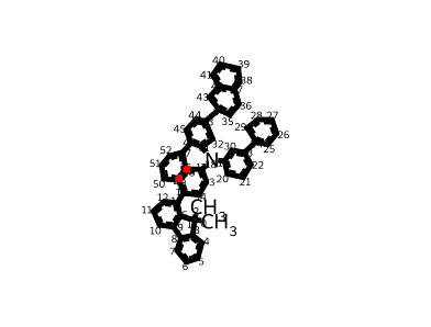 CC1(C)c2ccccc2-c2cccc(-c3ccc(N(c4cccc(-c5ccccc5)c4)c4cc(-c5ccc6ccccc6c5)ccc4-c4ccccc4)cc3)c21